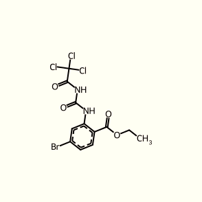 CCOC(=O)c1ccc(Br)cc1NC(=O)NC(=O)C(Cl)(Cl)Cl